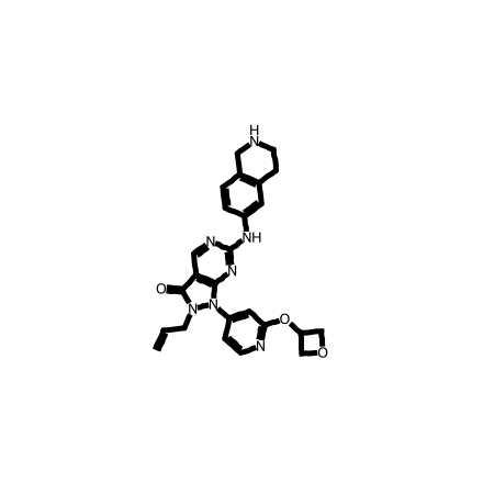 C=CCn1c(=O)c2cnc(Nc3ccc4c(c3)CCNC4)nc2n1-c1ccnc(OC2COC2)c1